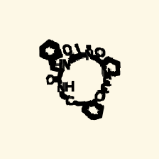 C[C@@H]1C(=O)N[C@H](Cc2ccccc2)C(=O)NCCCc2ccccc2OCCN2CCCC2C(=O)N1C